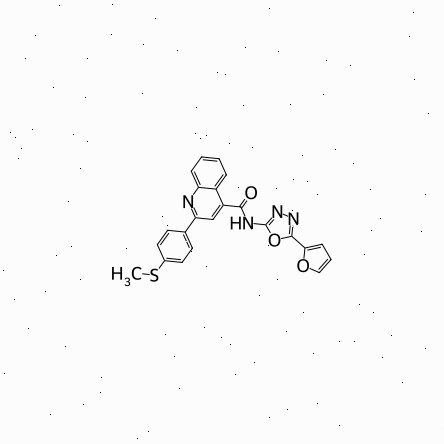 CSc1ccc(-c2cc(C(=O)Nc3nnc(-c4ccco4)o3)c3ccccc3n2)cc1